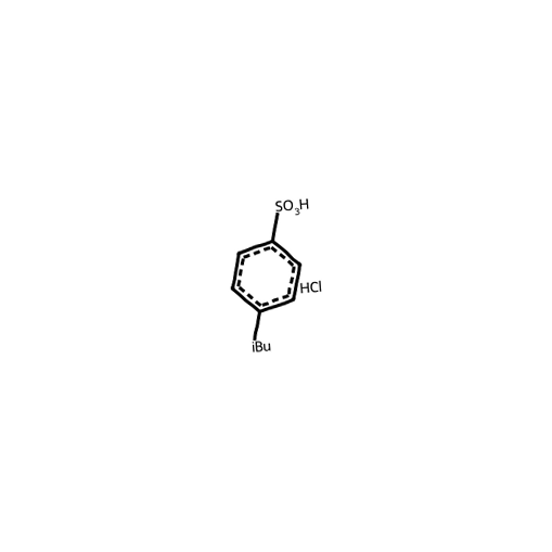 CCC(C)c1ccc(S(=O)(=O)O)cc1.Cl